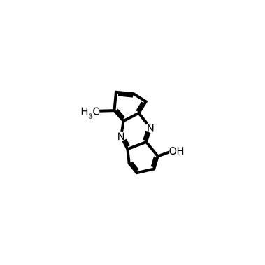 Cc1cccc2nc3c(O)cccc3nc12